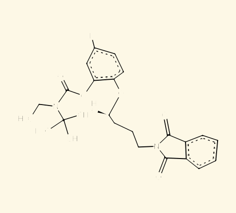 CCN(C(=O)Oc1cc(F)ccc1O[C@H](C)CCCN1C(=O)c2ccccc2C1=O)C(C)(C)C